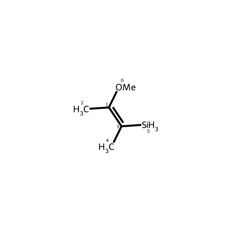 COC(C)=C(C)[SiH3]